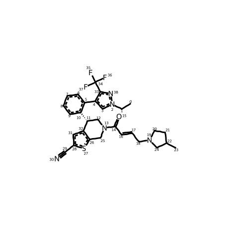 CCn1cc(-c2ccccc2[C@@H]2CN(C(=O)/C=C/CN3CCC(C)C3)Cc3sc(C#N)cc32)c(C(F)(F)F)n1